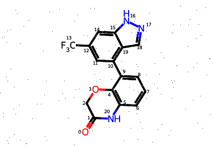 O=C1COc2c(cccc2-c2cc(C(F)(F)F)cc3[nH]ncc23)N1